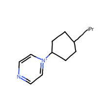 CC(C)C1CCC([n+]2ccncc2)CC1